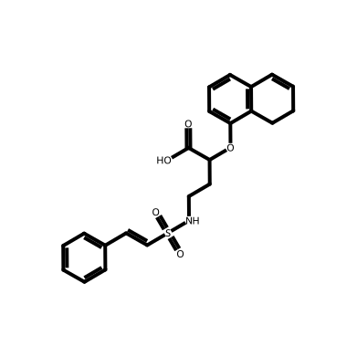 O=C(O)C(CCNS(=O)(=O)C=Cc1ccccc1)Oc1cccc2c1CCC=C2